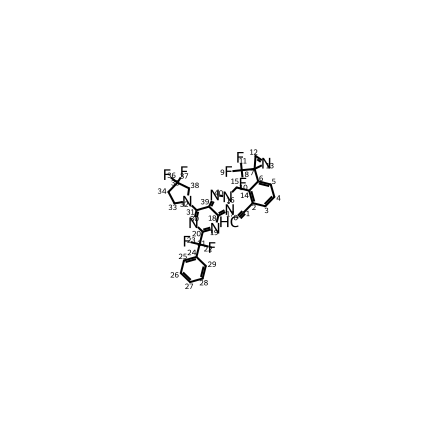 C#Cc1cccc(C2(C(F)(F)F)C=N2)c1Cn1nc2nc(C(F)(F)c3ccccc3)nc(N3CCC(F)(F)C3)c2n1